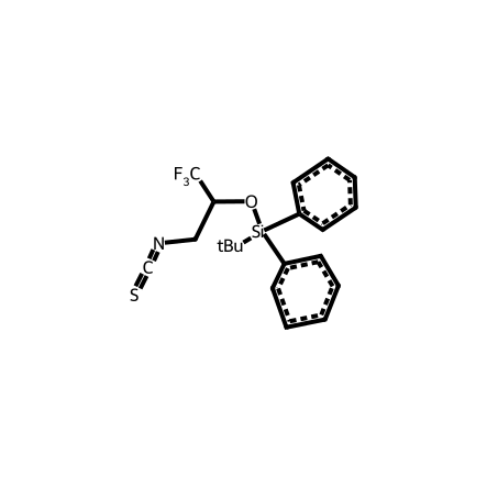 CC(C)(C)[Si](OC(CN=C=S)C(F)(F)F)(c1ccccc1)c1ccccc1